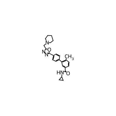 Cc1ccc(C(=O)NC2CC2)cc1-c1ccc(-c2nnc(CN3CCCCC3)o2)cc1